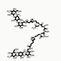 CCCCCC(=O)N(CCCn1cc(CCCC(=O)NCC2OC(OC3C(N)CC(N)C(OC4OC(CO)C(O)C(N)C4O)C3O)C(O)C(O)C2O)nn1)CC(=O)N(CCC)CC(=O)N(CCC)CC(=O)N(CCCn1cc(CC(=O)NCC2OC(OC3C(N)CC(N)C(OC4OC(CO)C(O)C(N)C4O)C3O)C(O)C(O)C2O)nn1)CC(N)=O